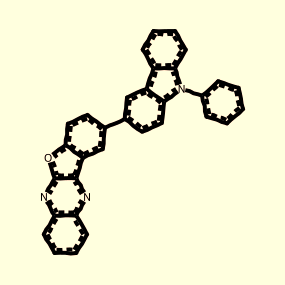 c1ccc(-n2c3ccccc3c3cc(-c4ccc5oc6nc7ccccc7nc6c5c4)ccc32)cc1